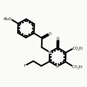 CCOC(=O)c1nc(CCF)n(CC(=O)c2ccc(OCC(C)C)cc2)c(=O)c1C(=O)OCC